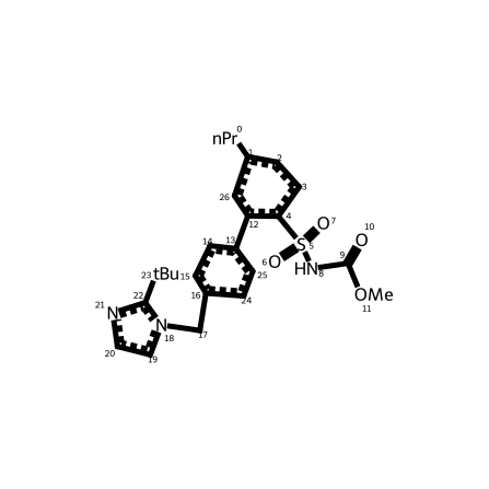 CCCc1ccc(S(=O)(=O)NC(=O)OC)c(-c2ccc(Cn3ccnc3C(C)(C)C)cc2)c1